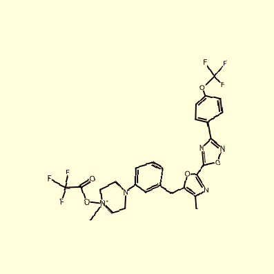 Cc1nc(-c2nc(-c3ccc(OC(F)(F)F)cc3)no2)oc1Cc1cccc(N2CC[N+](C)(OC(=O)C(F)(F)F)CC2)c1